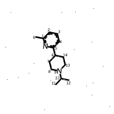 Cc1cccc(C2CCN(C(C)C)CC2)n1